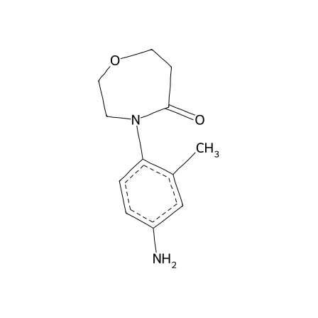 Cc1cc(N)ccc1N1CCOCCC1=O